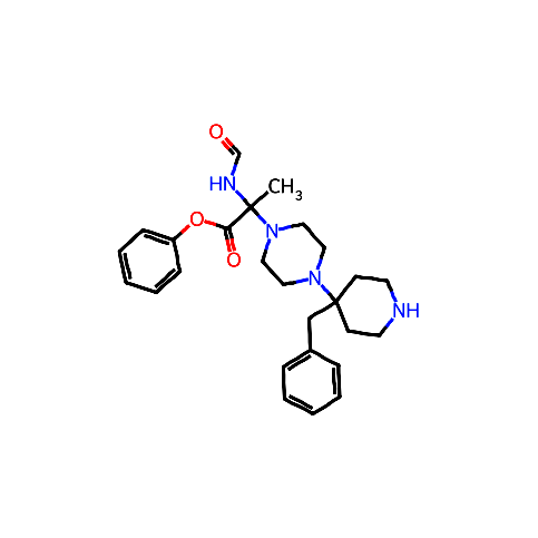 CC(NC=O)(C(=O)Oc1ccccc1)N1CCN(C2(Cc3ccccc3)CCNCC2)CC1